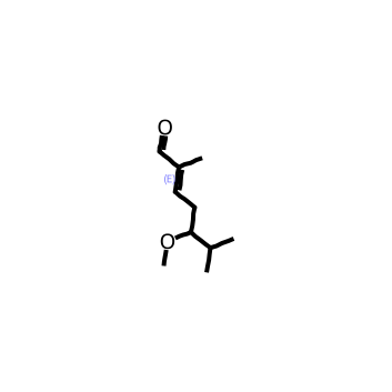 COC(C/C=C(\C)C=O)C(C)C